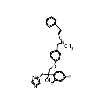 CN(C/C=C/c1ccccc1)Cc1ccc(OCC(O)(Cn2cncn2)c2ccc(F)cc2F)cc1